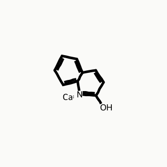 Oc1ccc2ccccc2n1.[Ca]